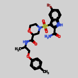 Cc1ccc(OCC(C)NC(=O)C2CN(S(=O)(=O)c3c(C(N)=O)[nH]c4ccc(Br)cc34)CCO2)cc1